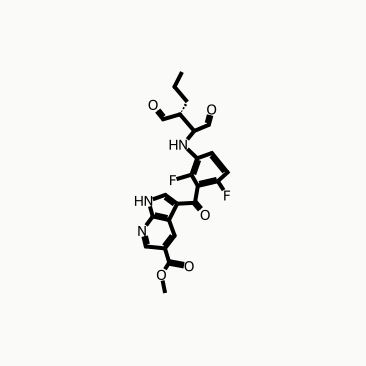 CCC[C@@H](C=O)C(C=O)Nc1ccc(F)c(C(=O)c2c[nH]c3ncc(C(=O)OC)cc23)c1F